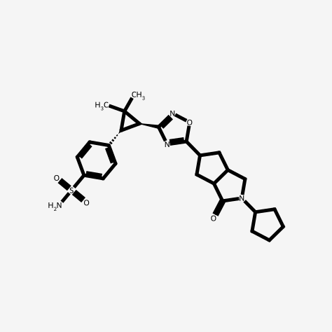 CC1(C)[C@@H](c2ccc(S(N)(=O)=O)cc2)[C@@H]1c1noc(C2CC3CN(C4CCCC4)C(=O)C3C2)n1